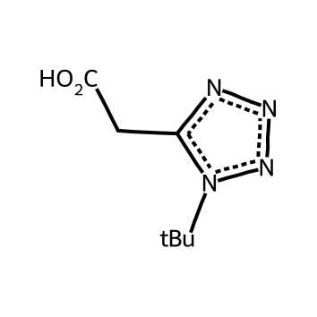 CC(C)(C)n1nnnc1CC(=O)O